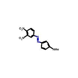 CNc1ccc(N=Nc2ccc([N+](=O)[O-])c([N+](=O)[O-])c2)cc1